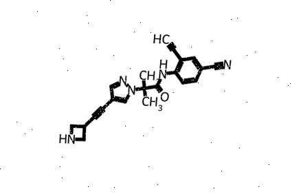 C#Cc1cc(C#N)ccc1NC(=O)C(C)(C)n1cc(C#CC2CNC2)cn1